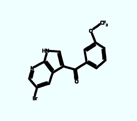 O=C(c1cccc(OC(F)(F)F)c1)c1c[nH]c2ncc(Br)cc12